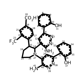 Nc1nnc(-c2ccccc2O)cc1C1C(c2ccc(C(=O)O)cc2C(F)(F)F)CCCN1c1cc(-c2ccccc2O)nnc1N